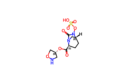 O=C(O[C@@H]1CNOC1)[C@@H]1CC[C@@H]2CN1C(=O)N2OS(=O)(=O)O